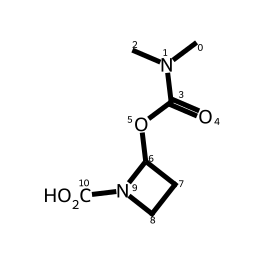 CN(C)C(=O)OC1CCN1C(=O)O